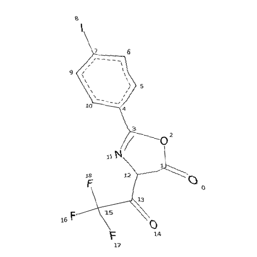 O=C1OC(c2ccc(I)cc2)=NC1C(=O)C(F)(F)F